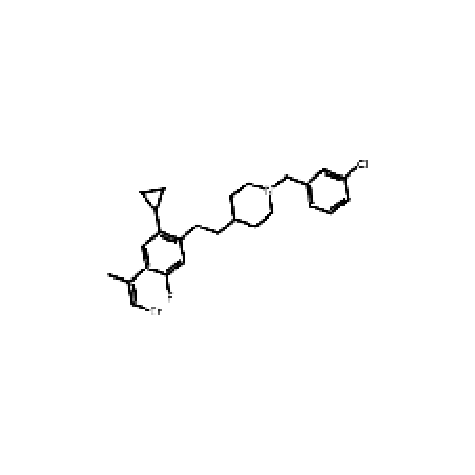 CC/C=C(/C)c1cc(C2CC2)c(CCC2CCN(Cc3cccc(Cl)c3)CC2)cc1F